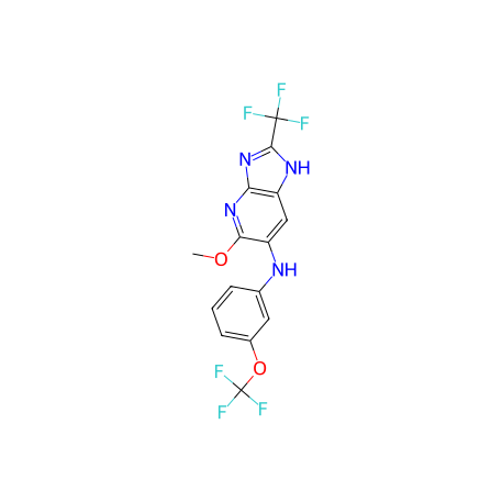 COc1nc2nc(C(F)(F)F)[nH]c2cc1Nc1cccc(OC(F)(F)F)c1